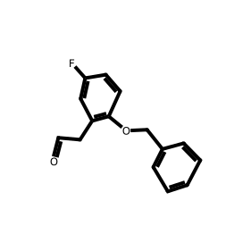 O=CCc1cc(F)ccc1OCc1ccccc1